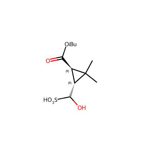 CC(C)COC(=O)[C@@H]1[C@@H](C(O)S(=O)(=O)O)C1(C)C